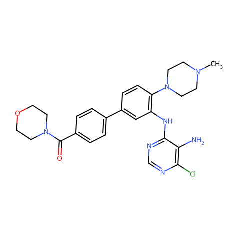 CN1CCN(c2ccc(-c3ccc(C(=O)N4CCOCC4)cc3)cc2Nc2ncnc(Cl)c2N)CC1